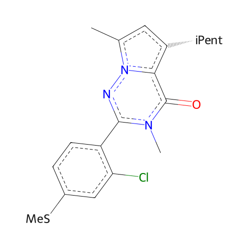 CCC[C@@H](C)c1cc(C)n2nc(-c3ccc(SC)cc3Cl)n(C)c(=O)c12